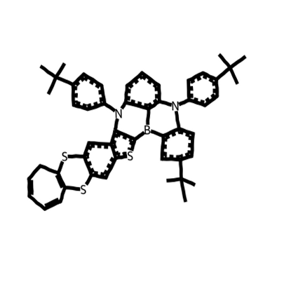 CC(C)(C)c1ccc(N2c3ccc(C(C)(C)C)cc3B3c4sc5cc6c(cc5c4N(c4ccc(C(C)(C)C)cc4)c4cccc2c43)SC2=C(C=CC=CC2)S6)cc1